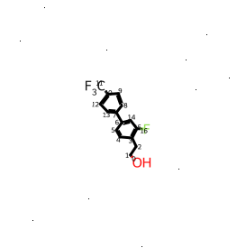 OCCc1ccc(-c2ccc(C(F)(F)F)cc2)cc1F